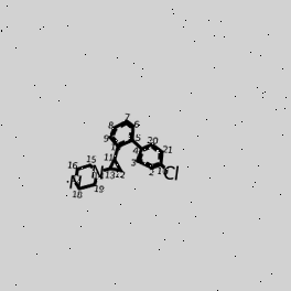 Clc1ccc(-c2ccccc2C2CC2N2CC[N]CC2)cc1